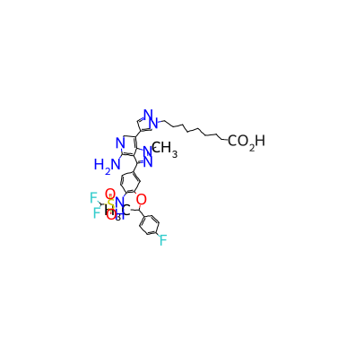 CC(Oc1cc(-c2nn(C)c3c(-c4cnn(CCCCCCCCC(=O)O)c4)cnc(N)c23)ccc1NS(=O)(=O)C(F)F)c1ccc(F)cc1